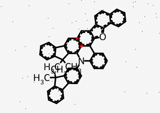 CC1(C)c2ccccc2-c2ccc(N(c3ccccc3-c3cccc4c3oc3c5ccccc5ccc43)c3cccc4c3C(C)(C)c3ccccc3-4)cc21